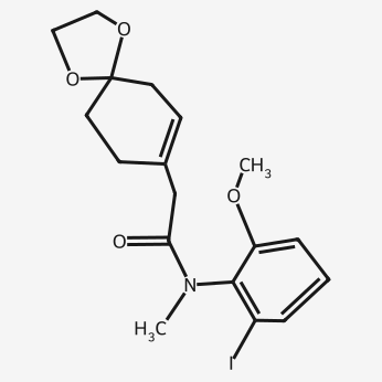 COc1cccc(I)c1N(C)C(=O)CC1=CCC2(CC1)OCCO2